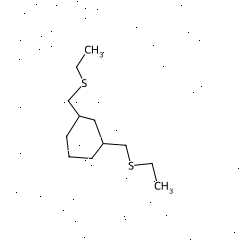 CCSCC1CCCC(CSCC)C1